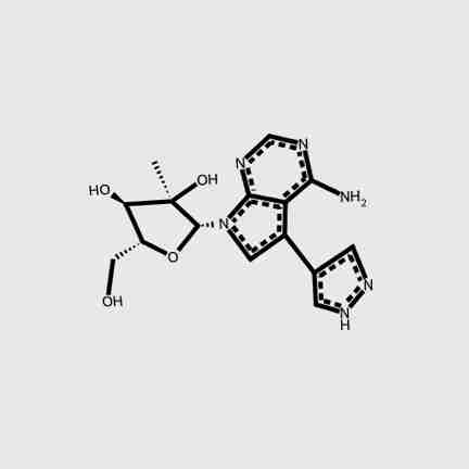 C[C@@]1(O)[C@H](O)[C@@H](CO)O[C@H]1n1cc(-c2cn[nH]c2)c2c(N)ncnc21